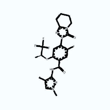 Cc1cn(C)nc1NC(=O)c1cc(F)c(-n2nc3n(c2=O)CCCC3)cc1O[C@@H](C)C(F)(F)F